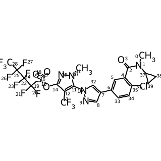 CN(C(=O)c1cc(-c2cnn(-c3c(C(F)(F)F)c(OS(=O)(=O)C(F)(F)C(F)(F)C(F)(F)C(F)(F)F)nn3C)c2)ccc1Cl)C1CC1